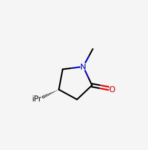 CC(C)[C@H]1CC(=O)N(C)C1